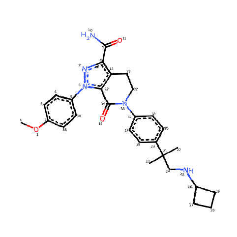 COc1ccc(-n2nc(C(N)=O)c3c2C(=O)N(c2ccc(C(C)(C)CNC4CCC4)cc2)CC3)cc1